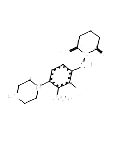 COc1c(N2CCNCC2)ccc(NN2C(=O)CCCC2=O)c1F